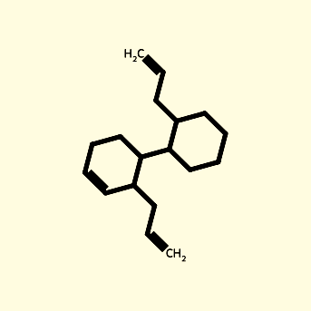 C=CCC1C=CCCC1C1CCCCC1CC=C